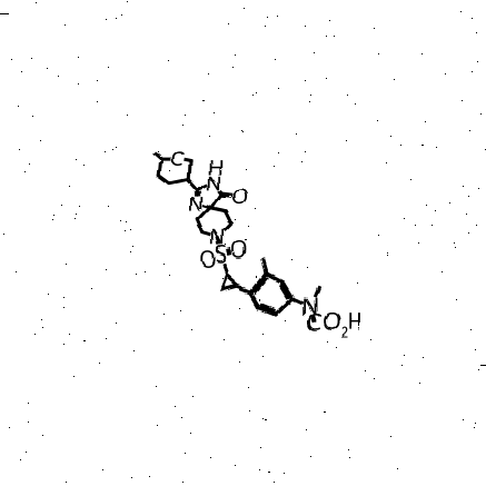 Cc1cc(N(C)C(=O)O)ccc1C1CC1S(=O)(=O)N1CCC2(CC1)N=C(C1CCC(C)CC1)NC2=O